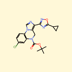 CC(C)(C)OC(=O)N1Cc2c(-c3noc(C4CC4)n3)ncn2-c2ccc(Cl)cc21